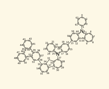 c1ccc(-n2c3ccccc3c3cc(-c4ccc5c(c4)c4ccccc4n5-c4cccc5c4Cc4c(-c6ccc7c8ccccc8c8ccccc8c7c6)cccc4-5)ccc32)cc1